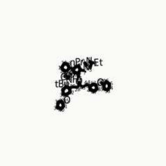 CCCc1nc(CC)cn1Cc1ccc(-c2ccccc2S(=O)(=O)NC(C)(C)C)cc1F.O=C(CCc1cccc(Oc2ccccc2)c1)CCc1cccc(Oc2ccccc2)c1